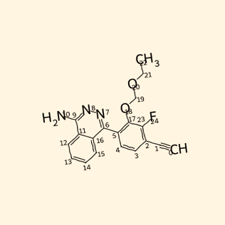 C#Cc1ccc(-c2nnc(N)c3ccccc23)c(OCOCC)c1F